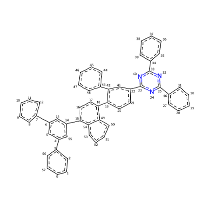 c1ccc(-c2cc(-c3ccccc3)cc(-c3ccc(-c4ccc(-c5nc(-c6ccccc6)nc(-c6ccccc6)n5)cc4-c4ccccc4)c4ccccc34)c2)cc1